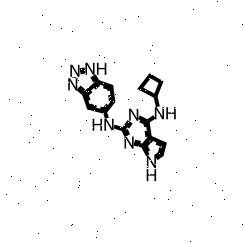 c1cc2c(NC3CCC3)nc(Nc3ccc4[nH]nnc4c3)nc2[nH]1